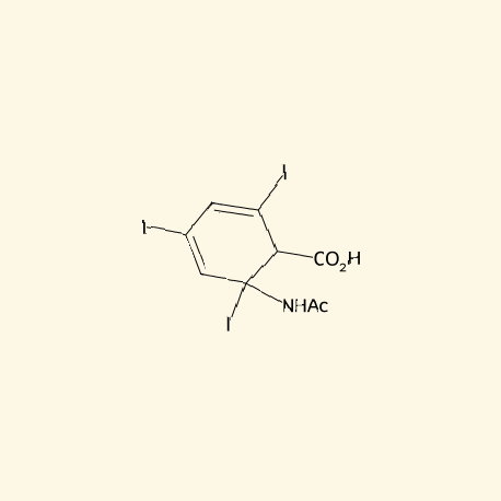 CC(=O)NC1(I)C=C(I)C=C(I)C1C(=O)O